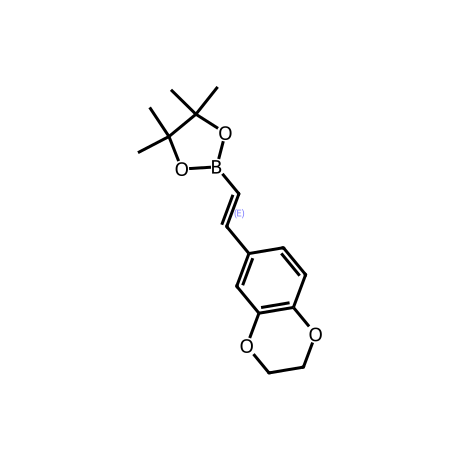 CC1(C)OB(/C=C/c2ccc3c(c2)OCCO3)OC1(C)C